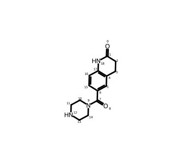 O=C1CCc2cc(C(=O)N3CCNCC3)ccc2N1